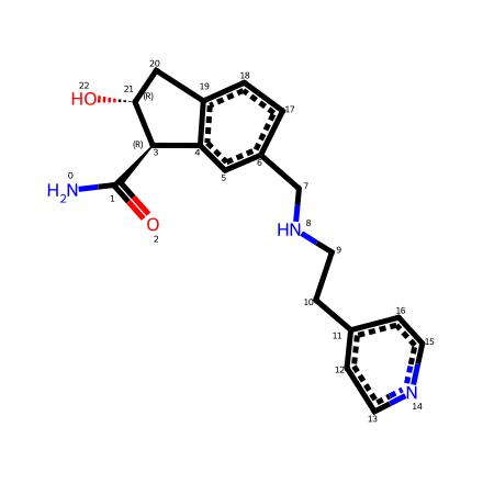 NC(=O)[C@@H]1c2cc(CNCCc3ccncc3)ccc2C[C@H]1O